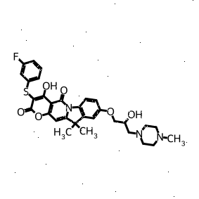 CN1CCN(CC(O)COc2ccc3c(c2)C(C)(C)c2cc4oc(=O)c(Sc5cccc(F)c5)c(O)c4c(=O)n2-3)CC1